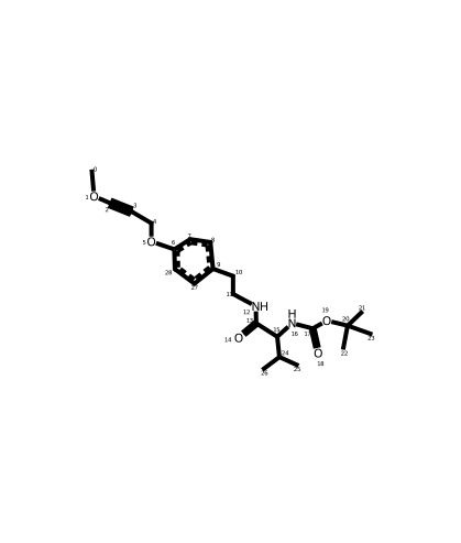 COC#CCOc1ccc(CCNC(=O)C(NC(=O)OC(C)(C)C)C(C)C)cc1